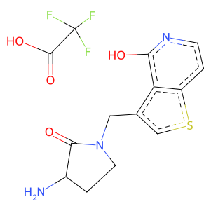 NC1CCN(Cc2csc3ccnc(O)c23)C1=O.O=C(O)C(F)(F)F